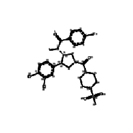 CN(C(=O)c1ccc(F)cc1)[C@@H]1CN(C(=O)N2CCN(S(C)(=O)=O)CC2)C[C@H]1c1ccc(Cl)c(Cl)c1